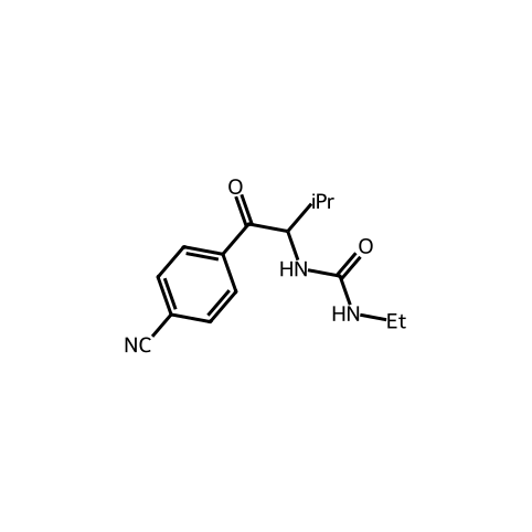 CCNC(=O)NC(C(=O)c1ccc(C#N)cc1)C(C)C